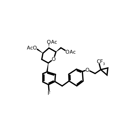 CC(=O)OC[C@H]1O[C@@H](c2ccc(F)c(Cc3ccc(OCC4(C(F)(F)F)CC4)cc3)c2)C[C@@H](OC(C)=O)[C@@H]1OC(C)=O